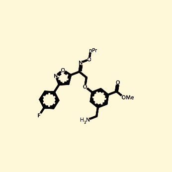 CCCO/N=C(\COc1cc(CN)cc(C(=O)OC)c1)c1cc(-c2ccc(F)cc2)no1